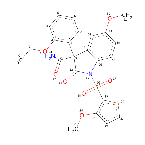 CCOc1ccccc1C1(C(N)=O)C(=O)N(S(=O)(=O)c2sccc2OC)c2ccc(OC)cc21